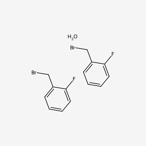 Fc1ccccc1CBr.Fc1ccccc1CBr.O